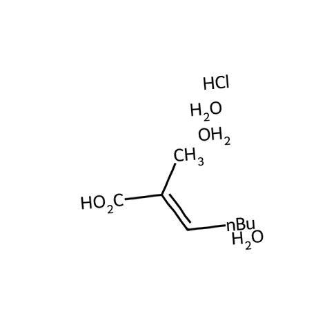 CCCCC=C(C)C(=O)O.Cl.O.O.O